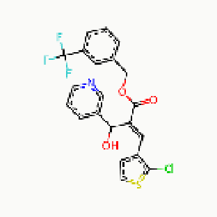 O=C(OCc1cccc(C(F)(F)F)c1)C(=Cc1ccsc1Cl)C(O)c1cccnc1